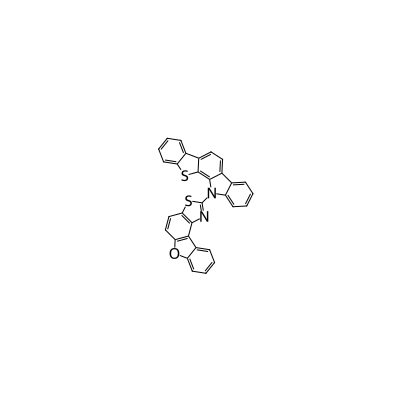 c1ccc2c(c1)oc1ccc3sc(-n4c5ccccc5c5ccc6c7ccccc7sc6c54)nc3c12